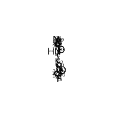 O=C(NCCCCC1CCN(C(=O)c2cccc(F)c2F)CC1)c1ccc2nccn2c1